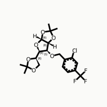 CC1(C)O[C@H]2O[C@H]([C@H]3COC(C)(C)O3)[C@H](OCc3ccc(C(F)(F)F)cc3Cl)[C@H]2O1